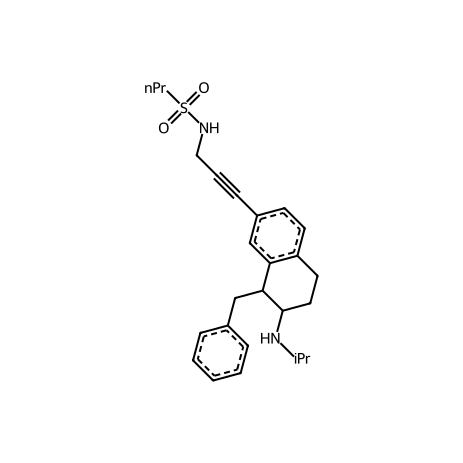 CCCS(=O)(=O)NCC#Cc1ccc2c(c1)C(Cc1ccccc1)C(NC(C)C)CC2